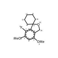 COc1cc(OC)c2c(c1F)C1(CCCCC1)OC2